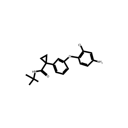 CC(C)(C)NC(=O)C1(c2cccc(Oc3ccc(N)cc3Cl)c2)CC1